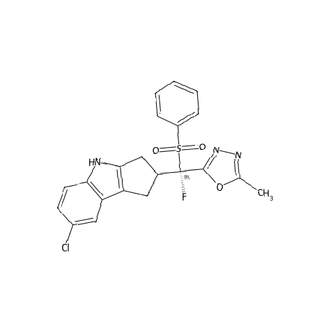 Cc1nnc([C@@](F)(C2Cc3[nH]c4ccc(Cl)cc4c3C2)S(=O)(=O)c2ccccc2)o1